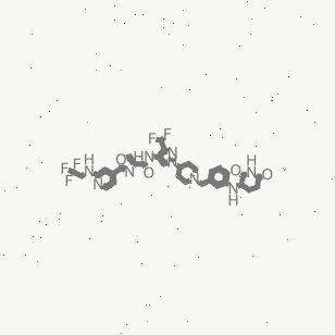 O=C1CCC(Nc2cccc(CN3CCC(n4cc(NC(=O)c5coc(-c6ccnc(NCC(F)(F)F)c6)n5)c(C(F)F)n4)CC3)c2)C(=O)N1